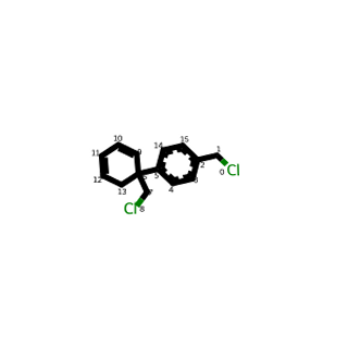 ClCc1ccc(C2(CCl)C=CC=CC2)cc1